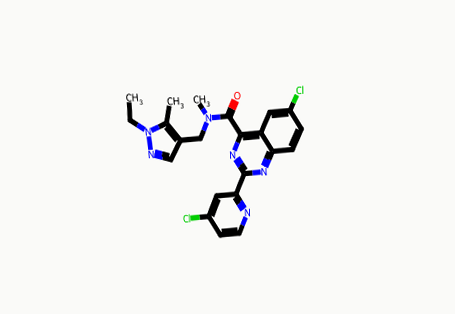 CCn1ncc(CN(C)C(=O)c2nc(-c3cc(Cl)ccn3)nc3ccc(Cl)cc23)c1C